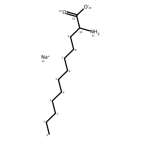 CCCCCCCCCCC(N)C(=O)[O-].[Na+]